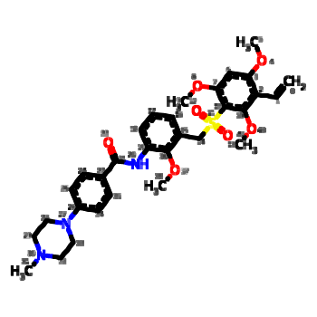 C=Cc1c(OC)cc(OC)c(S(=O)(=O)Cc2cccc(NC(=O)c3ccc(N4CCN(C)CC4)cc3)c2OC)c1OC